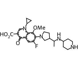 COc1c(N2CCC(C(C)NC3CCNCC3)C2)c(F)cc2c(=O)c(C(=O)O)cn(C3CC3)c12